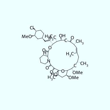 CO[C@H]1C[C@@H](C)C/C(C)=C/[C@@H](C)C(=O)C[C@H](O)[C@@H](C)[C@@H](/C(C)=C/[C@@H]2CC[C@H](Cl)[C@H](OC)C2)OC(=O)[C@@H]2CCCCN2C(=O)C(=O)[C@]2(O)OC1[C@@H](OC)C[C@H]2C